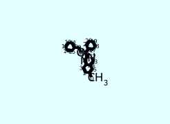 Cc1ccc2nc(N(OCc3ccccc3)c3ccccc3)ncc2c1